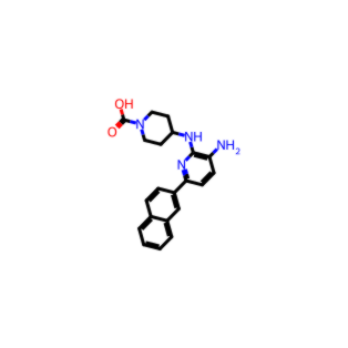 Nc1ccc(-c2ccc3ccccc3c2)nc1NC1CCN(C(=O)O)CC1